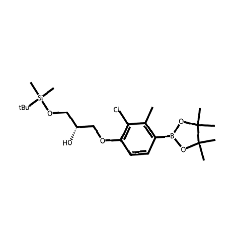 Cc1c(B2OC(C)(C)C(C)(C)O2)ccc(OC[C@H](O)CO[Si](C)(C)C(C)(C)C)c1Cl